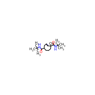 CC(C)(C)NC(=O)C1C/C=C/C(C)(C(=O)NC(C)(C)C)CCC1